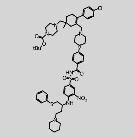 CC1(CN2CCN(C(=O)OC(C)(C)C)CC2)CCC(c2ccc(Cl)cc2)=C(CN2CCN(c3ccc(C(=O)NS(=O)(=O)c4ccc(NC(CCN5CCCCC5)CSc5ccccc5)c([N+](=O)[O-])c4)cc3)CC2)C1